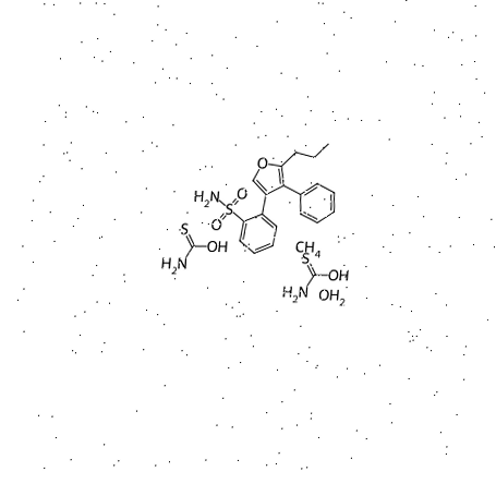 C.CCCc1occ(-c2ccccc2S(N)(=O)=O)c1-c1ccccc1.NC(O)=S.NC(O)=S.O